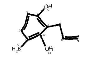 Bc1ccc(O)c(CC=C)c1O